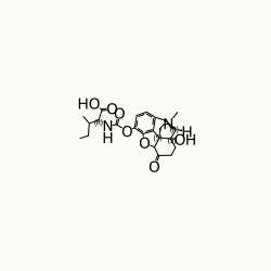 CCC(C)[C@@H](NC(=O)Oc1ccc2c3c1OC1C(=O)CC[C@@]4(O)[C@@H](C2)N(C)CC[C@]314)C(=O)O